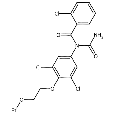 CCOCCOc1c(Cl)cc(N(C(N)=O)C(=O)c2ccccc2Cl)cc1Cl